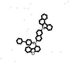 c1ccc(-c2ccc(N(c3ccc4cc(-n5c6ccccc6c6c7ccccc7ccc65)ccc4c3)c3cccc4oc5ccccc5c34)cc2)cc1